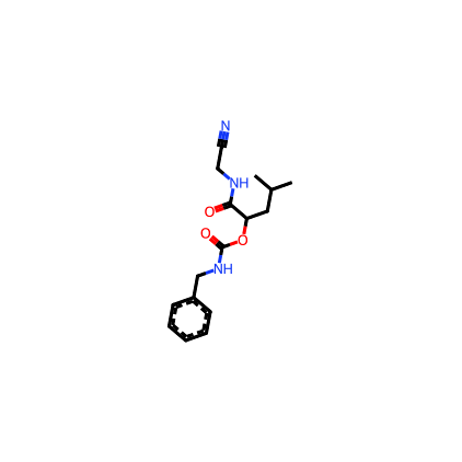 CC(C)CC(OC(=O)NCc1ccccc1)C(=O)NCC#N